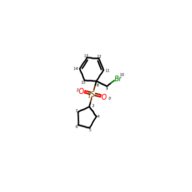 O=S(=O)(C1CCCC1)C1(CBr)C=CC=CC1